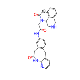 CC(C)(C)C(=O)N(CC(=O)Nc1ccc2c(c1)CC(=O)Nc1ncccc1C2)C1CNCc2ccccc21